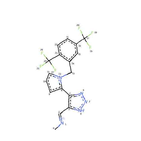 C/N=C/c1[nH]nnc1-c1cccn1Cc1cc(C(F)(F)F)ccc1C(F)(F)F